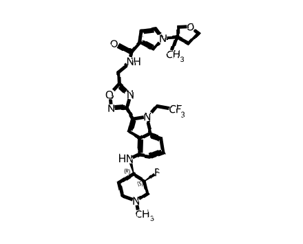 CN1CC[C@@H](Nc2cccc3c2cc(-c2noc(CNC(=O)c4ccn(C5(C)CCOC5)c4)n2)n3CC(F)(F)F)[C@@H](F)C1